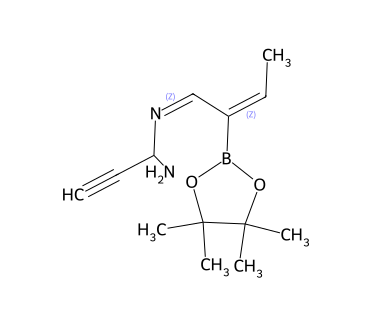 C#CC(N)/N=C\C(=C/C)B1OC(C)(C)C(C)(C)O1